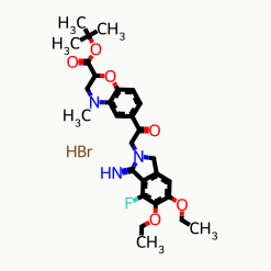 Br.CCOc1cc2c(c(F)c1OCC)C(=N)N(CC(=O)c1ccc3c(c1)N(C)CC(C(=O)OC(C)(C)C)O3)C2